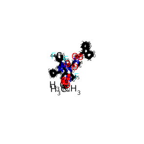 CC(C)(C)OC(=O)N1C[C@@H](CN(C(=O)[C@@H]2CN(C(=O)OCC3c4ccccc4-c4ccccc43)CCO2)[C@@H](c2nc(-c3cc(F)ccc3F)cn2Cc2ccccc2)C2CCOCC2)[C@@H](F)C1